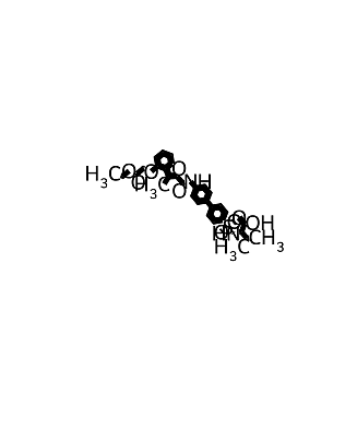 CCOC(=O)COc1cccc2oc(C(=O)Nc3ccc(-c4ccc(S(=O)(=O)NC(C(=O)O)C(C)C)cc4)cc3)c(C)c12